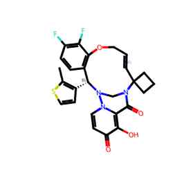 Cc1sccc1[C@@H]1c2ccc(F)c(F)c2OC/C=C/C2(CCC2)N2CN1n1ccc(=O)c(O)c1C2=O